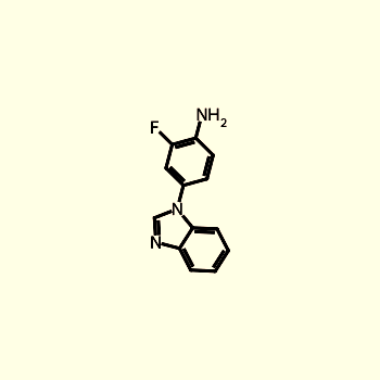 Nc1ccc(-n2cnc3ccccc32)cc1F